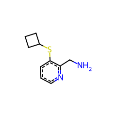 NCc1ncccc1SC1CCC1